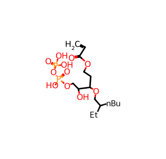 C=CC(=O)OCCC(OCC(CC)CCCC)C(O)COP(=O)(O)OP(=O)(O)O